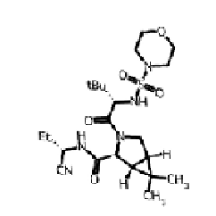 CC[C@@H](C#N)NC(=O)[C@@H]1[C@@H]2[C@H](CN1C(=O)[C@@H](NS(=O)(=O)N1CCOCC1)C(C)(C)C)C2(C)C